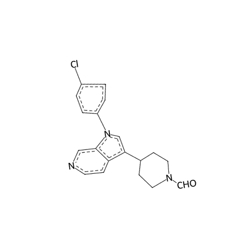 O=CN1CCC(c2cn(-c3ccc(Cl)cc3)c3cnccc23)CC1